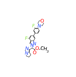 CCOC(=O)C(c1ncn2c1CCC2)n1cc2c(F)cc(-c3ccc(N4CCOCC4)c(F)c3)cc2n1